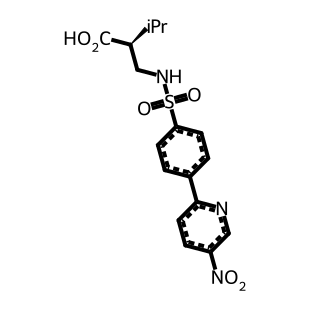 CC(C)[C@@H](CNS(=O)(=O)c1ccc(-c2ccc([N+](=O)[O-])cn2)cc1)C(=O)O